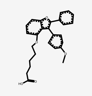 COc1ccc(-c2c(-c3ccccc3)oc3cccc(OCCCCCC(=O)O)c23)cc1